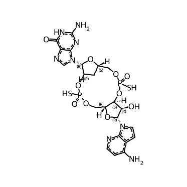 Nc1nc2c(ncn2[C@@H]2O[C@@H]3COP(=O)(S)O[C@H]4[C@@H](O)[C@H](n5ccc6c(N)ccnc65)O[C@@H]4COP(=O)(S)O[C@@H]2C3)c(=O)[nH]1